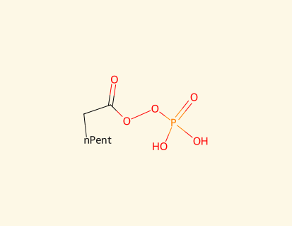 CCCCCCC(=O)OOP(=O)(O)O